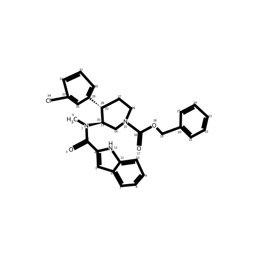 CN(C(=O)c1cc2ccccc2[nH]1)[C@@H]1CN(C(=O)OCc2ccccc2)CC[C@H]1c1cccc(Cl)c1